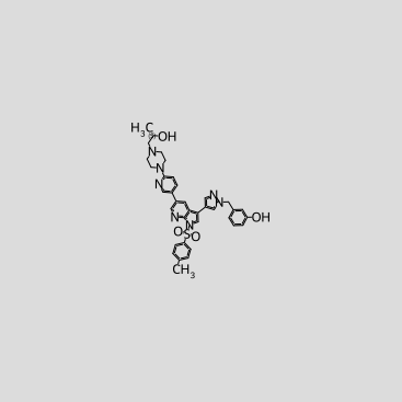 Cc1ccc(S(=O)(=O)n2cc(-c3cnn(Cc4cccc(O)c4)c3)c3cc(-c4ccc(N5CCN(C[C@H](C)O)CC5)nc4)cnc32)cc1